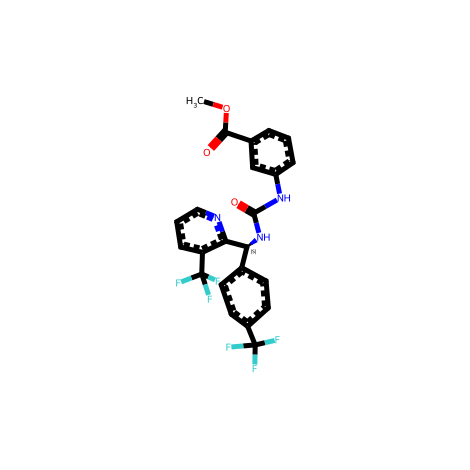 COC(=O)c1cccc(NC(=O)N[C@@H](c2ccc(C(F)(F)F)cc2)c2ncccc2C(F)(F)F)c1